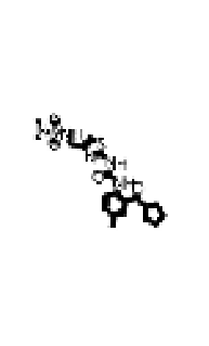 Cc1ccc(NC(=O)Nc2nc(CNS(=O)(=O)N(C)C)cs2)c(C(=O)C2CCCC2)c1